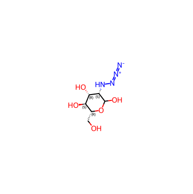 [N-]=[N+]=NN[C@@H]1C(O)O[C@H](CO)[C@@H](O)[C@@H]1O